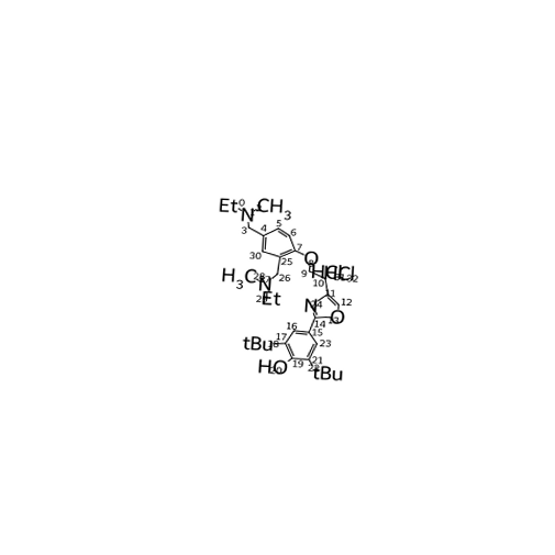 CCN(C)Cc1ccc(OCCc2coc(-c3cc(C(C)(C)C)c(O)c(C(C)(C)C)c3)n2)c(CN(C)CC)c1.Cl.Cl